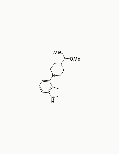 COC(OC)C1CCN(c2cccc3c2CCN3)CC1